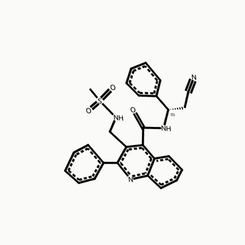 CS(=O)(=O)NCc1c(-c2ccccc2)nc2ccccc2c1C(=O)N[C@@H](CC#N)c1ccccc1